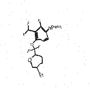 CCCCCc1ccc(OC(F)(F)C2CCC(CC)CO2)c(C(F)F)c1F